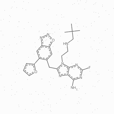 CC(C)(C)CNCCn1c(Cc2cc3onnc3cc2-c2ccco2)nc2c(N)nc(F)nc21